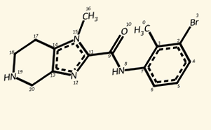 Cc1c(Br)cccc1NC(=O)c1nc2c(n1C)CCNC2